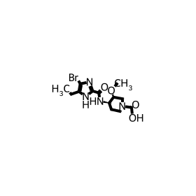 CCc1[nH]c(C(=O)N[C@@H]2CCN(C(=O)O)C[C@@H]2OC)nc1Br